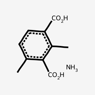 Cc1ccc(C(=O)O)c(C)c1C(=O)O.N